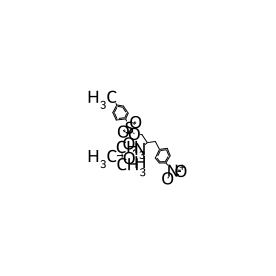 Cc1ccc(S(=O)(=O)OCC(Cc2ccc([N+](=O)[O-])cc2)NC(=O)OC(C)(C)C)cc1